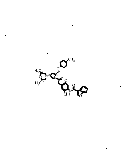 C[C@@H]1CN([C@H]2C[C@@H](CO[C@H]3CC[C@H](C)CC3)N(C(=O)Cc3cc(Cl)c(NC(=O)c4coc5ccccc45)cc3Cl)C2)C[C@H](C)O1